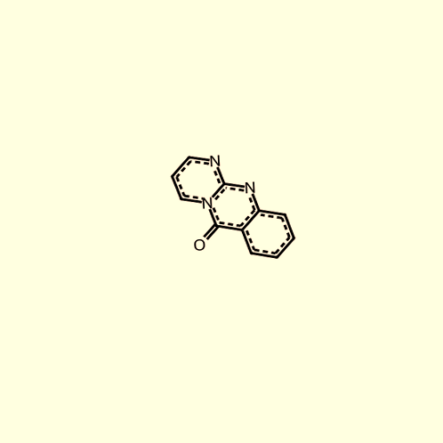 O=c1c2ccccc2nc2ncccn12